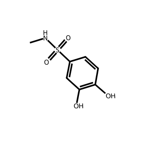 CNS(=O)(=O)c1ccc(O)c(O)c1